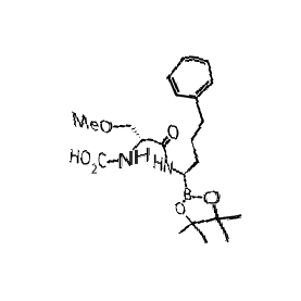 COC[C@@H](NC(=O)O)C(=O)N[C@@H](CCCc1ccccc1)B1OC(C)(C)C(C)(C)O1